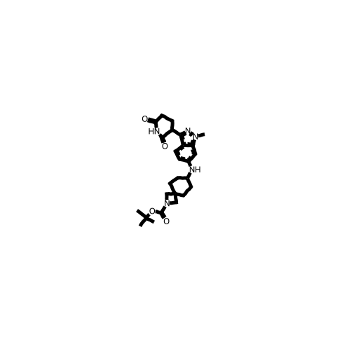 Cn1nc(C2CCC(=O)NC2=O)c2ccc(NC3CCC4(CC3)CN(C(=O)OC(C)(C)C)C4)cc21